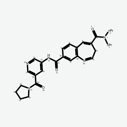 CCCN(CCC)C(=O)C1=Cc2ccc(C(=O)Nc3cncc(C(=O)N4CCCC4)c3)cc2N=CC1